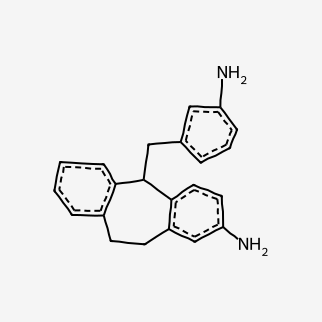 Nc1cccc(CC2c3ccccc3CCc3cc(N)ccc32)c1